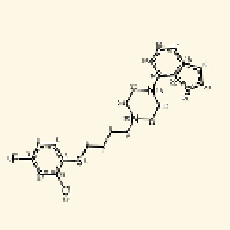 Fc1ccc(SCCCCN2CCN(c3cccc4ccsc34)CC2)c(Cl)c1